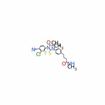 CNC(=O)CCCc1ccc(N2C(=S)N(c3ccc(C#N)c(Cl)c3F)C(=O)C2(C)C)cc1